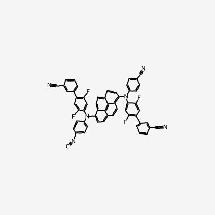 [C-]#[N+]c1ccc(N(c2cc(F)c(-c3cccc(C#N)c3)cc2F)c2ccc3ccc4c(N(c5ccc(C#N)cc5)c5cc(F)c(-c6cccc(C#N)c6)cc5F)ccc5ccc2c3c54)cc1